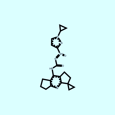 O=C(/N=[SH](=O)/c1ccn(C2CC2)n1)Nc1c2c(nc3c1CCC31CC1)CCC2